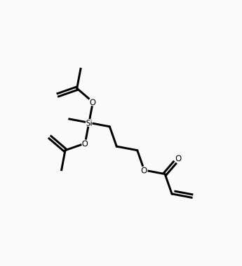 C=CC(=O)OCCC[Si](C)(OC(=C)C)OC(=C)C